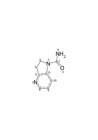 NC(=O)N1CCc2ncccc21